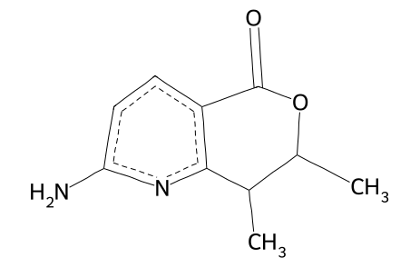 CC1OC(=O)c2ccc(N)nc2C1C